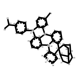 Cc1ccc2c(c1)B1c3cccc4c3N(c3ccccc3C43C4CC5CC(C4)CC3C5)c3cccc(c31)N2c1ccc(C(C)C)cc1